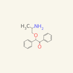 CC(N)COC(C(=O)c1ccccc1)c1ccccc1